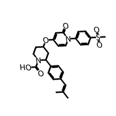 CC(C)=Cc1ccc(C2CC(Oc3ccn(-c4ccc(S(C)(=O)=O)cc4)c(=O)c3)CCN2C(=O)O)cc1